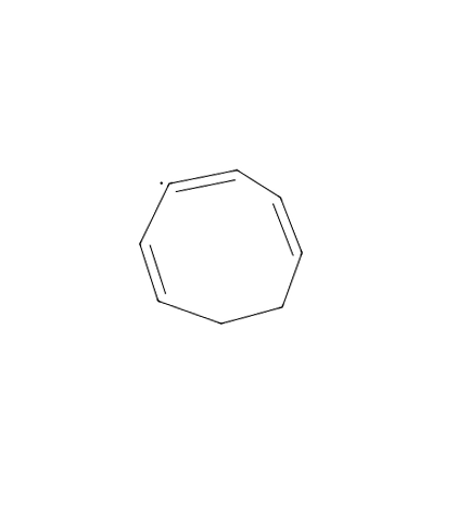 [C]1=C\C=C/CC\C=C/1